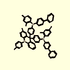 Cc1ccc(N2c3ccccc3C(c3ccc(N(c4ccc(-c5ccccc5)cc4)c4ccc(C)cc4C)cc3)(c3ccc(N(c4ccc(-c5ccccc5)cc4)c4ccc(C)cc4C)cc3)c3cc(C)ccc32)cc1